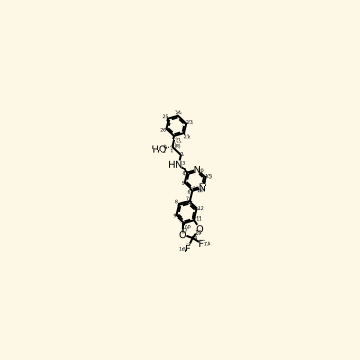 O[C@@H](CNc1cc(-c2ccc3c(c2)OC(F)(F)O3)ncn1)c1ccccc1